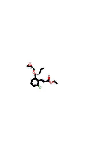 CCC[C@@H](OC[C@H]1CO1)c1cccc(Cl)c1/C=C/C(=O)OCC